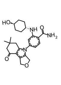 CC1(C)CC(=O)c2c3c(n(-c4ccc(C(N)=O)c(N[C@H]5CC[C@H](O)CC5)c4)c2C1)COC3